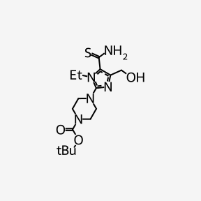 CCn1c(N2CCN(C(=O)OC(C)(C)C)CC2)nc(CO)c1C(N)=S